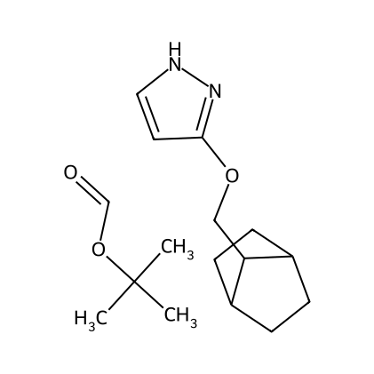 CC(C)(C)OC=O.c1cc(OCC2C3CCC2CC3)n[nH]1